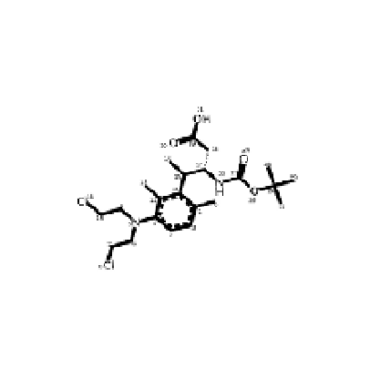 Cc1ccc(N(CCCl)CCCl)c(C)c1C(C)[C@H](CC(=O)O)NC(=O)OC(C)(C)C